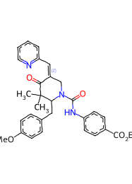 CCOC(=O)c1ccc(NC(=O)N2C/C(=C/c3ccccn3)C(=O)C(C)(C)C2Cc2ccc(OC)cc2)cc1